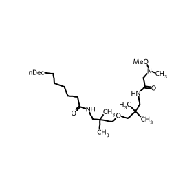 CCCCCCCCCCCCCCCC(=O)NCC(C)(C)COCC(C)(C)CNC(=O)CN(C)OC